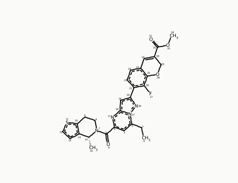 CCc1cc(C(=O)N2CCc3sccc3[C@H]2C)nc2cc(-c3ccc4c(c3F)OCC(C(=O)OC)=C4)nn12